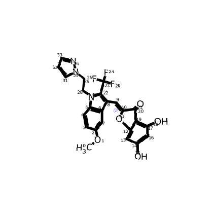 COc1ccc2c(c1)c(/C=C1\Oc3cc(O)cc(O)c3C1=O)c(C(F)(F)F)n2CCn1cccn1